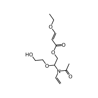 C=CN(C(C)=O)C(COC(=O)C=COCC)OCCO